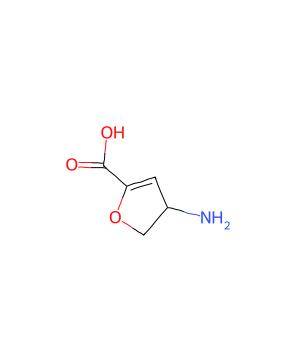 NC1C=C(C(=O)O)OC1